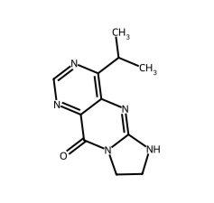 CC(C)c1ncnc2c(=O)n3c(nc12)NCC3